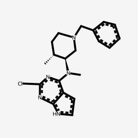 C[C@@H]1CCN(Cc2ccccc2)C[C@H]1N(C)c1nc(Cl)nc2[nH]ccc12